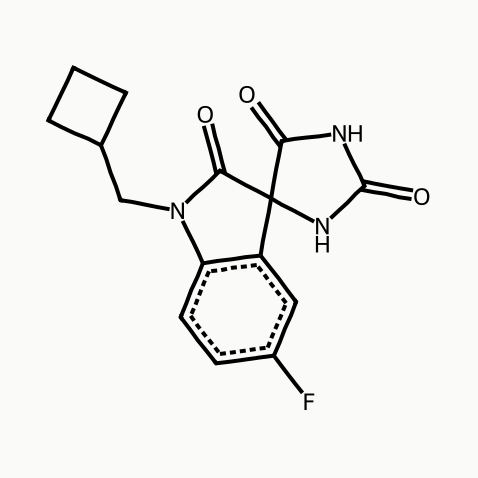 O=C1NC(=O)C2(N1)C(=O)N(CC1CCC1)c1ccc(F)cc12